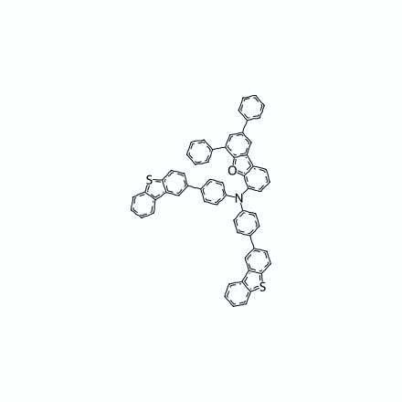 c1ccc(-c2cc(-c3ccccc3)c3oc4c(N(c5ccc(-c6ccc7sc8ccccc8c7c6)cc5)c5ccc(-c6ccc7sc8ccccc8c7c6)cc5)cccc4c3c2)cc1